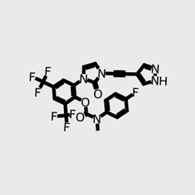 CN(C(=O)Oc1c(-n2ccn(C#Cc3cn[nH]c3)c2=O)cc(C(F)(F)F)cc1C(F)(F)F)c1ccc(F)cc1